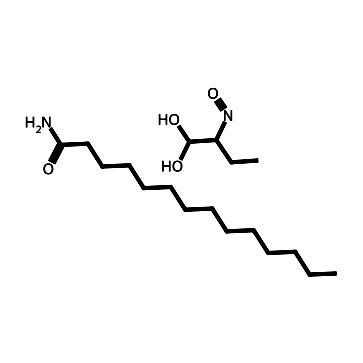 CCC(N=O)C(O)O.CCCCCCCCCCCCCC(N)=O